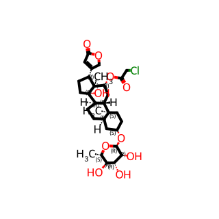 C[C@@H]1O[C@@H](O[C@H]2CC[C@@]3(C)[C@H](CC[C@@H]4[C@@H]3C[C@@H](OC(=O)CCl)[C@]3(C)[C@@H](C5=CC(=O)OC5)CC[C@]43O)C2)[C@H](O)[C@H](O)[C@H]1O